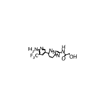 Nc1ncc(-c2ccc3nc(NC(=O)CO)cn3n2)cc1C(F)(F)F